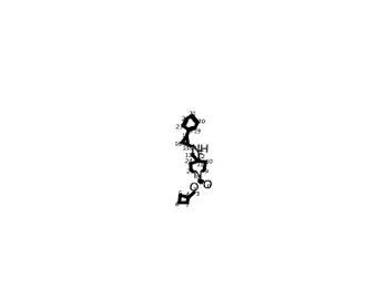 O=C(OCC1CCC1)N1CCC(F)(CNC2CC2c2ccccc2)CC1